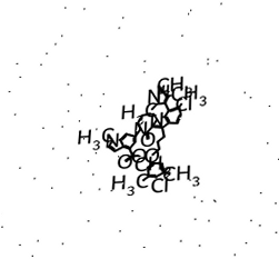 COC(=O)c1cc(N2CCCn3c(c(CCCOc4cc(C)c(Cl)c(C)c4)c4ccc(Cl)c(-c5c(C)nn(C)c5C)c43)C2=O)cc2c1ccn2C